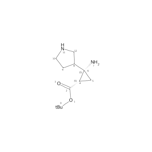 CC(C)(C)OC(=O)[C@H]1C[C@]1(N)C1CCNC1